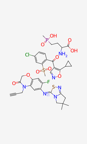 C#CCN1C(=O)COc2cc(F)c(/N=c3\snc4n3CC(C)(C)C4)cc21.CP(=O)(O)CCC(N)C(=O)O.CS(=O)(=O)c1cc(Cl)ccc1C(=O)c1cnoc1C1CC1